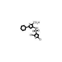 O=C(O)c1sc(-c2ccccc2)cc1NS(=O)(=O)c1cc(Cl)sc1Cl